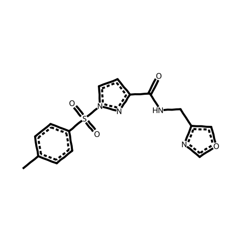 Cc1ccc(S(=O)(=O)n2ccc(C(=O)NCc3cocn3)n2)cc1